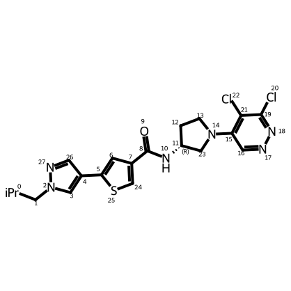 CC(C)Cn1cc(-c2cc(C(=O)N[C@@H]3CCN(c4cnnc(Cl)c4Cl)C3)cs2)cn1